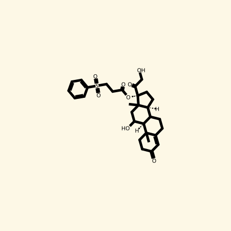 CC12CCC(=O)C=C1CCC1[C@@H]2C(O)CC2(C)[C@H]1CC[C@]2(OC(=O)CCS(=O)(=O)c1ccccc1)C(=O)CO